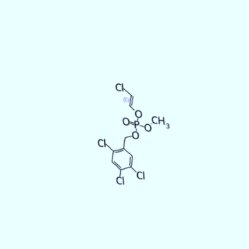 COP(=O)(O/C=C/Cl)OCc1cc(Cl)c(Cl)cc1Cl